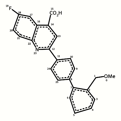 COCc1ccccc1-c1ccc(-c2cc(C(=O)O)c3cc(F)ccc3n2)cc1